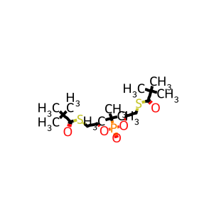 CC(C)(C)C(=O)SCCOP(=O)(OCCSC(=O)C(C)(C)C)C(C)(C)C